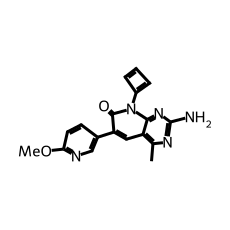 COc1ccc(-c2cc3c(C)nc(N)nc3n(C3=CC=C3)c2=O)cn1